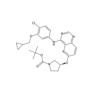 CC(C)(C)OC(=O)N1CC[C@H](Oc2ccc3ncnc(Nc4ccc(Cl)c(OCC5CC5)c4)c3n2)C1